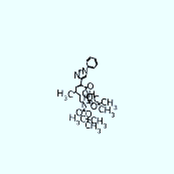 CC(/C=C(\C(=O)O)c1cn(-c2ccccc2)cn1)CCN(C(=O)OC(C)(C)C)C(=O)OC(C)(C)C